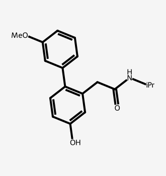 COc1cccc(-c2ccc(O)cc2CC(=O)NC(C)C)c1